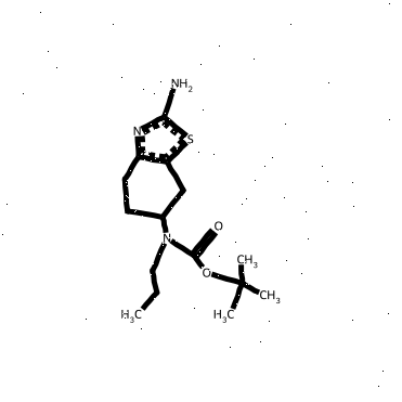 CCCN(C(=O)OC(C)(C)C)C1CCc2nc(N)sc2C1